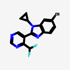 N#Cc1ccc2nc(-c3cncnc3C(F)F)n(C3CC3)c2c1